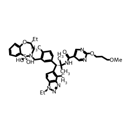 CC[C@@H]1CN(Cc2cc([C@@H](c3ccc4c(nnn4CC)c3C)C(C)(C)NC(=O)c3cnc(OCCCOC)nc3)ccc2C)S(O)(O)c2ccccc2O1